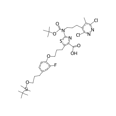 Cc1c(Cl)nnc(Cl)c1CCCN(C(=O)OC(C)(C)C)c1nc(C(=O)O)c(CCCOc2ccc(CCCO[Si](C)(C)C(C)(C)C)cc2F)s1